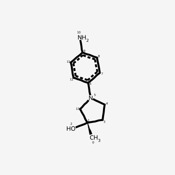 C[C@]1(O)CCN(c2ccc(N)cc2)C1